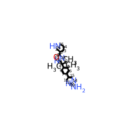 CC(C)C(C)(c1ccc(-c2cnc(N)nc2)cc1)c1noc(C2CCCNC2)n1